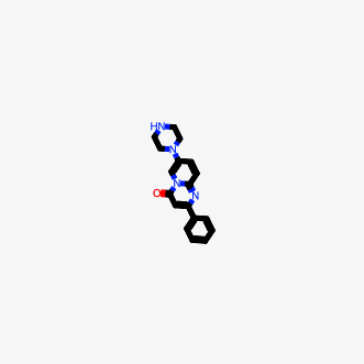 O=c1cc(-c2ccccc2)nc2ccc(N3CCNCC3)cn12